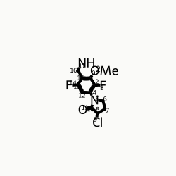 COc1c(F)c(N2CCC(Cl)C2=O)cc(F)c1CN